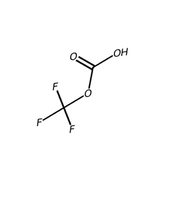 O=C(O)OC(F)(F)F